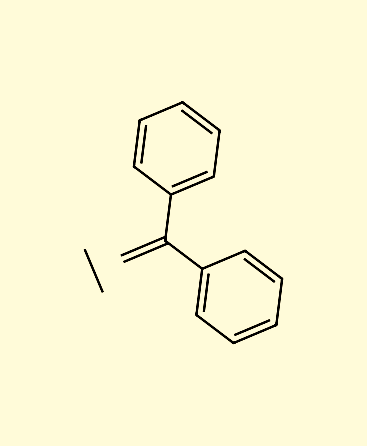 C=C(c1ccccc1)c1ccccc1.CC